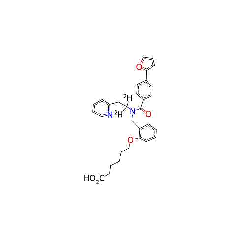 [2H]C([2H])(Cc1ccccn1)N(Cc1ccccc1OCCCCCC(=O)O)C(=O)c1ccc(-c2ccco2)cc1